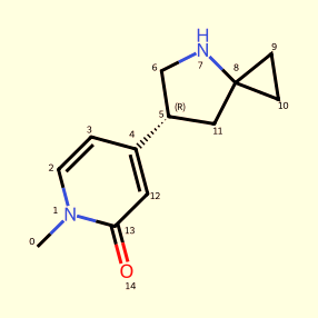 Cn1ccc([C@@H]2CNC3(CC3)C2)cc1=O